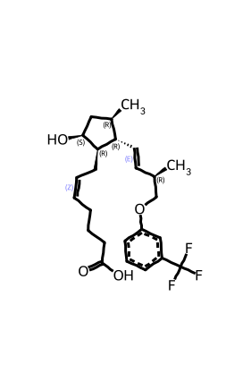 C[C@H](/C=C/[C@@H]1[C@@H](C/C=C\CCCC(=O)O)[C@@H](O)C[C@H]1C)COc1cccc(C(F)(F)F)c1